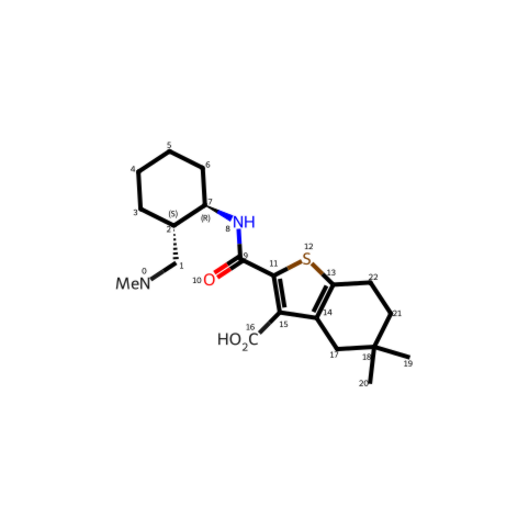 CNC[C@@H]1CCCC[C@H]1NC(=O)c1sc2c(c1C(=O)O)CC(C)(C)CC2